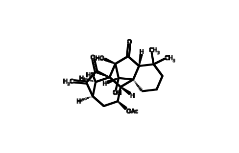 C=C1C(=O)[C@]23[C@H](O)[C@H]1C[C@H](OC(C)=O)[C@H]2[C@]12CCCC(C)(C)[C@H]1C(=O)[C@]3(O)[C@H]2O